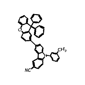 Cc1cccc(-n2c3ccc(C#N)cc3c3cc(-c4ccc5c(c4)C(c4ccccc4)(c4ccccc4)c4ccccc4O5)ccc32)c1